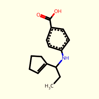 CCC(Nc1ccc(C(=O)O)cc1)C1=CCCC1